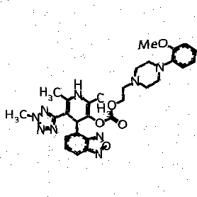 COc1ccccc1N1CCN(CCOC(=O)OC2=C(C)NC(C)=C(c3nnn(C)n3)C2c2cccc3nonc23)CC1